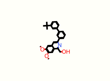 COc1cc2cc(-c3cccc(-c4cccc(C(C)(C)C)c4)c3)nc(CO)c2cc1OC